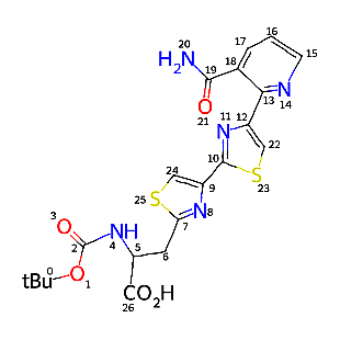 CC(C)(C)OC(=O)NC(Cc1nc(-c2nc(-c3ncccc3C(N)=O)cs2)cs1)C(=O)O